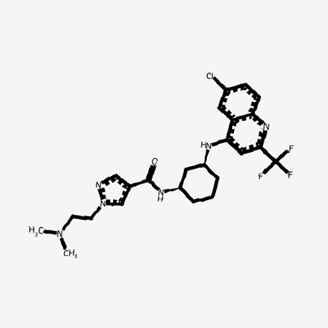 CN(C)CCn1cc(C(=O)N[C@@H]2CCC[C@H](Nc3cc(C(F)(F)F)nc4ccc(Cl)cc34)C2)cn1